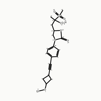 CCOC1CC(C#Cc2ccc(N3CC(CC(C)(C(=O)O)S(C)(=O)=O)OC3=O)cc2)C1